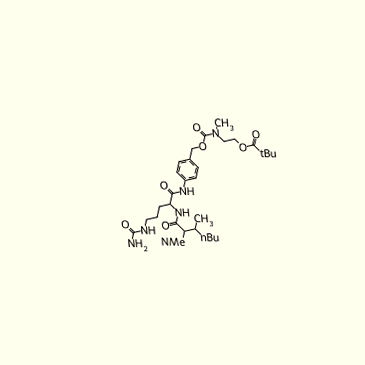 CCCCC(C)C(NC)C(=O)NC(CCCNC(N)=O)C(=O)Nc1ccc(COC(=O)N(C)CCOC(=O)C(C)(C)C)cc1